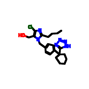 CCCCc1nc(Cl)c(CO)n1Cc1ccc(C2(c3nnn[nH]3)CCCCC2)cc1